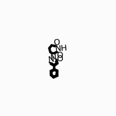 O=C1CCCC(n2ncc(-c3ccccc3)cc2=O)C(=O)N1